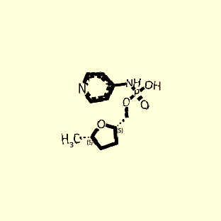 C[C@H]1CC[C@@H](COP(=O)(O)Nc2ccncc2)O1